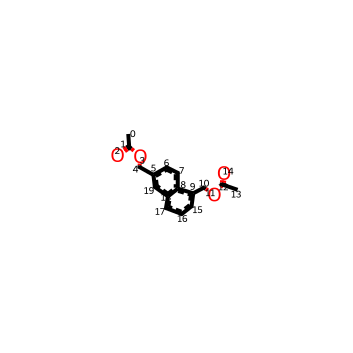 CC(=O)OCc1ccc2c(COC(C)=O)cccc2c1